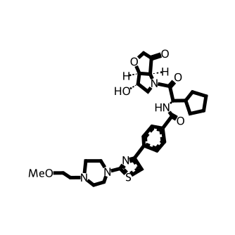 COCCN1CCN(c2nc(-c3ccc(C(=O)N[C@H](C(=O)N4C[C@H](O)[C@H]5OCC(=O)[C@H]54)C4CCCC4)cc3)cs2)CC1